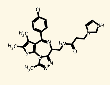 Cc1sc2c(c1C)C(c1ccc(Cl)cc1)=N[C@@H](CNC(=O)CCN1C=CNC1)c1nnc(C)n1-2